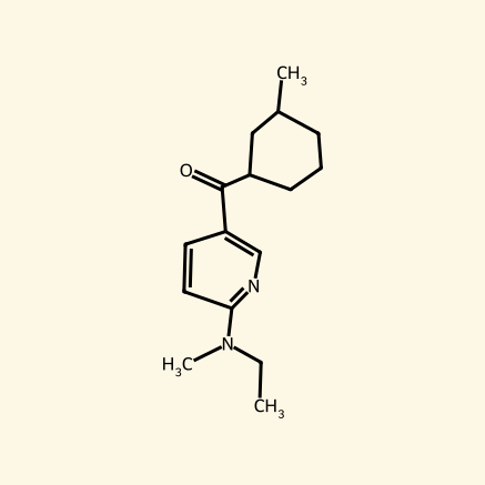 CCN(C)c1ccc(C(=O)C2CCCC(C)C2)cn1